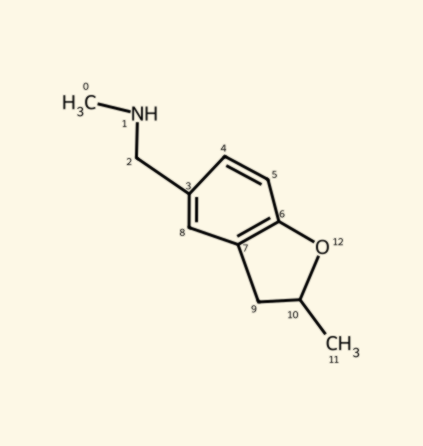 CNCc1ccc2c(c1)CC(C)O2